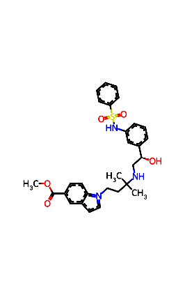 COC(=O)c1ccc2c(ccn2CCC(C)(C)NC[C@H](O)c2cccc(NS(=O)(=O)c3ccccc3)c2)c1